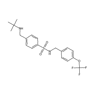 CC(C)(C)NCc1ccc(S(=O)(=O)NCc2ccc(OC(F)(F)F)cc2)cc1